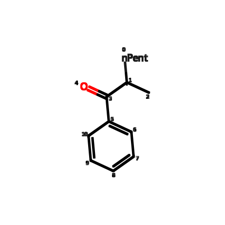 CCCCC[C](C)C(=O)c1ccccc1